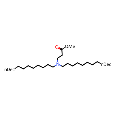 CCCCCCCCCCCCCCCCCCN(CCCCCCCCCCCCCCCCCC)CCC(=O)OC